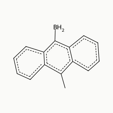 Bc1c2ccccc2c(C)c2ccccc12